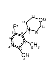 Cc1c(O)ncc(F)c1N1CCOCC1